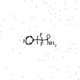 CC(C)(c1ccncc1)C(F)(F)C(N)=O